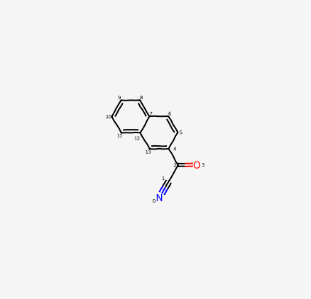 N#CC(=O)c1ccc2ccccc2c1